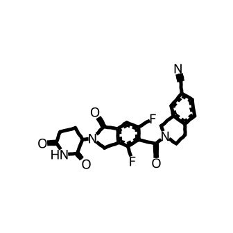 N#Cc1ccc2c(c1)CN(C(=O)c1c(F)cc3c(c1F)CN(C1CCC(=O)NC1=O)C3=O)CC2